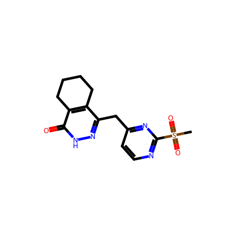 CS(=O)(=O)c1nccc(Cc2n[nH]c(=O)c3c2CCCC3)n1